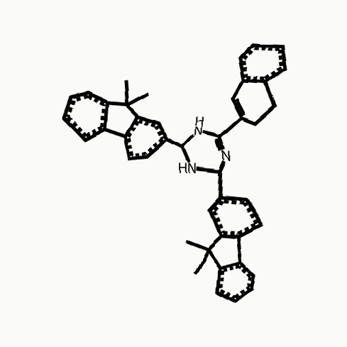 CC1(C)c2ccccc2-c2ccc(C3N=C(C4=Cc5ccccc5CC4)NC(c4ccc5c(c4)C(C)(C)c4ccccc4-5)N3)cc21